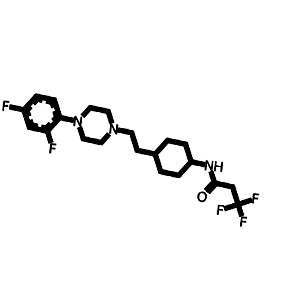 O=C(CC(F)(F)F)NC1CCC(CCN2CCN(c3ccc(F)cc3F)CC2)CC1